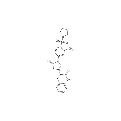 Cc1cc(N2C[C@H](N(Cc3ccccc3)C(=O)O)CC2=O)ccc1S(=O)(=O)N1CCCC1